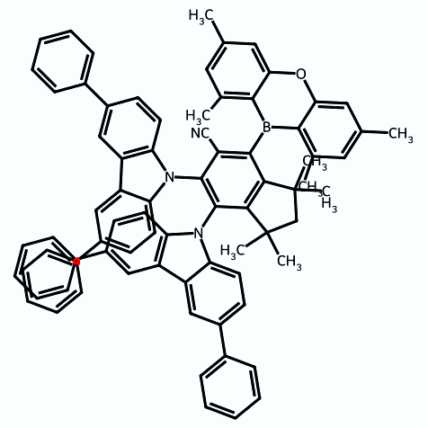 Cc1cc(C)c2c(c1)Oc1cc(C)cc(C)c1B2c1c(C#N)c(-n2c3ccc(-c4ccccc4)cc3c3cc(-c4ccccc4)ccc32)c(-n2c3ccc(-c4ccccc4)cc3c3cc(-c4ccccc4)ccc32)c2c1C(C)(C)CC2(C)C